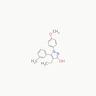 CCc1c(O)nn(-c2ccc(OC)cc2)c1-c1cccc(C)c1